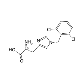 N[C@@H](Cc1cn(Cc2c(Cl)cccc2Cl)cn1)C(=O)O